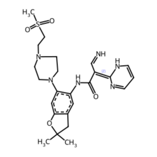 CC1(C)Cc2cc(NC(=O)/C(C=N)=C3\N=CC=CN3)c(N3CCN(CCS(C)(=O)=O)CC3)cc2O1